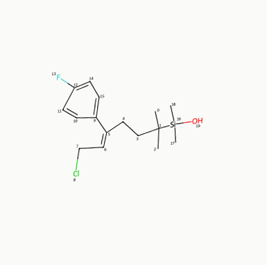 CC(C)(CC/C(=C/CCl)c1ccc(F)cc1)[Si](C)(C)O